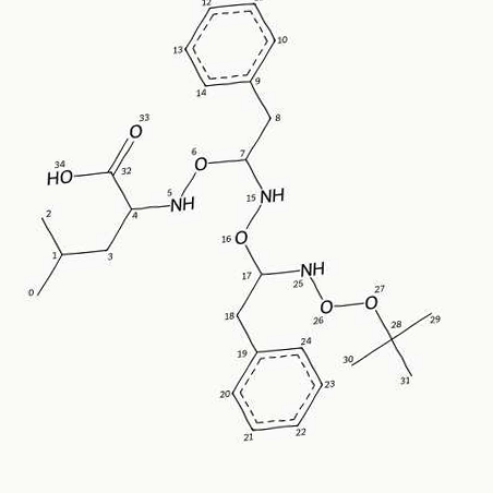 CC(C)CC(NOC(Cc1ccccc1)NOC(Cc1ccccc1)NOOC(C)(C)C)C(=O)O